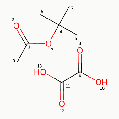 CC(=O)OC(C)(C)C.O=C(O)C(=O)O